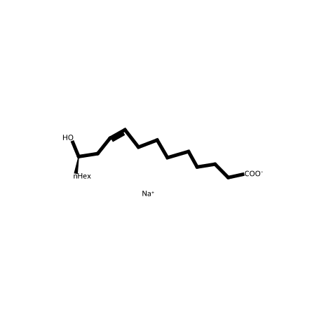 CCCCCC[C@@H](O)C/C=C\CCCCCCCC(=O)[O-].[Na+]